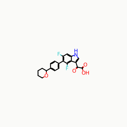 O=C(O)C(=O)c1c[nH]c2cc(F)c(-c3ccc(C4CCCCO4)cc3)c(F)c12